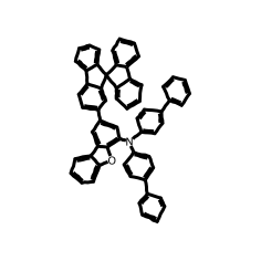 c1ccc(-c2ccc(N(c3ccc(-c4ccccc4)cc3)c3cc(-c4ccc5c(c4)C4(c6ccccc6-c6ccccc64)c4ccccc4-5)cc4c3oc3ccccc34)cc2)cc1